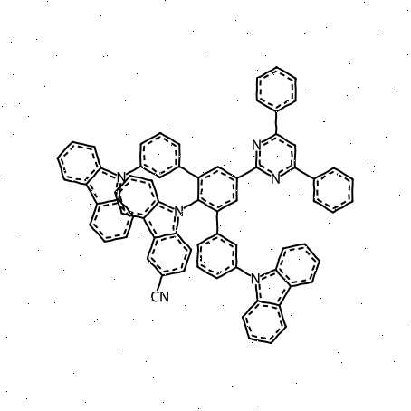 N#Cc1ccc2c(c1)c1ccccc1n2-c1c(-c2cccc(-n3c4ccccc4c4ccccc43)c2)cc(-c2nc(-c3ccccc3)cc(-c3ccccc3)n2)cc1-c1cccc(-n2c3ccccc3c3ccccc32)c1